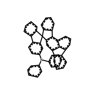 c1ccc(N(c2ccccc2)c2ccc3c(c2)C2(c4ccccc4-3)c3ccccc3-c3c2cc2c4c(cccc34)-c3ccccc3-2)cc1